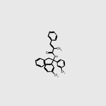 C/C(=C\c1ccccc1)C(=O)NC(Cc1ccccc1)(c1cccc(C(F)(F)F)c1)c1cccc(C(F)(F)F)c1